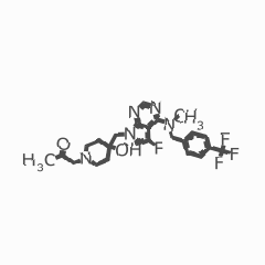 CC(=O)CN1CCC(O)(Cn2cc(F)c3c(N(C)Cc4ccc(C(F)(F)F)cc4)ncnc32)CC1